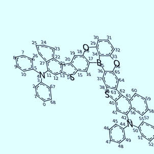 c1ccc(N(c2ccccc2)c2cc3sc4cc5c(cc4c3c3ccccc23)Oc2cccc3c2B5c2cc4sc5cc(N(c6ccccc6)c6ccccc6)c6ccccc6c5c4cc2O3)cc1